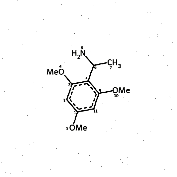 COc1cc(OC)c(C(C)N)c(OC)c1